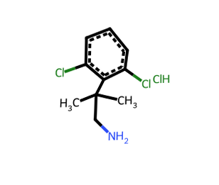 CC(C)(CN)c1c(Cl)cccc1Cl.Cl